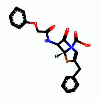 O=C(COc1ccccc1)NC1C(=O)[N+]2(C(=O)O)C=C(Cc3ccccc3)S[C@@H]12